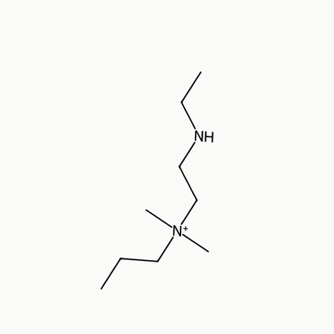 CCC[N+](C)(C)CCNCC